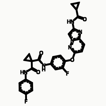 O=C(Nc1cn2nc(Oc3ccc(NC(=O)C4(C(=O)Nc5ccc(F)cc5)CC4)cc3F)ccc2n1)C1CC1